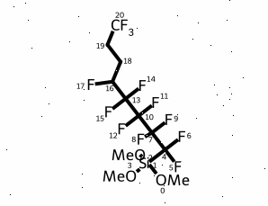 CO[Si](OC)(OC)C(F)(F)C(F)(F)C(F)(F)C(F)(F)C(F)CCC(F)(F)F